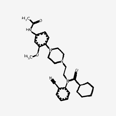 COc1cc(NC(C)=O)ccc1N1CCN(CCN(C(=O)C2CCCCC2)c2ccccc2C#N)CC1